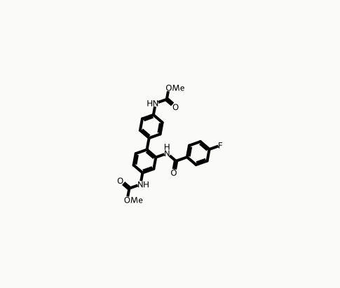 COC(=O)Nc1ccc(-c2ccc(NC(=O)OC)cc2NC(=O)c2ccc(F)cc2)cc1